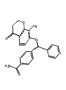 N#Cc1c(OC(c2ccncc2)c2ccc(C(N)=O)cc2)ccc2c1OCCC2=O